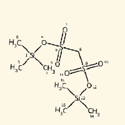 C[Si](C)(C)OS(=O)(=O)CS(=O)(=O)O[Si](C)(C)C